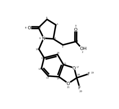 O=C(O)CC1CCC(=O)N1Cc1ccc2c(c1)OC(F)(F)O2